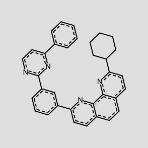 c1ccc(-c2ccnc(-c3cccc(-c4ccc5ccc6ccc(C7CCCCC7)nc6c5n4)c3)n2)cc1